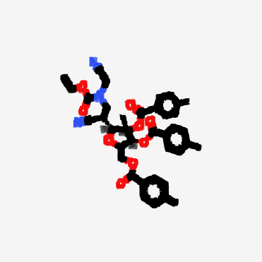 CCOC(=O)N(CC#N)CC(C#N)[C@H]1OC(COC(=O)c2ccc(C)cc2)[C@@H](OC(=O)c2ccc(C)cc2)[C@@]1(C)OC(=O)c1ccc(C)cc1